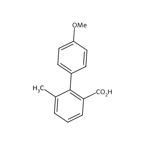 COc1ccc(-c2c(C)cccc2C(=O)O)cc1